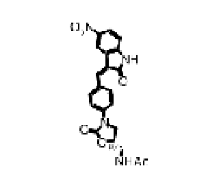 CC(=O)NC[C@H]1CN(c2ccc(C=C3C(=O)Nc4ccc([N+](=O)[O-])cc43)cc2)C(=O)O1